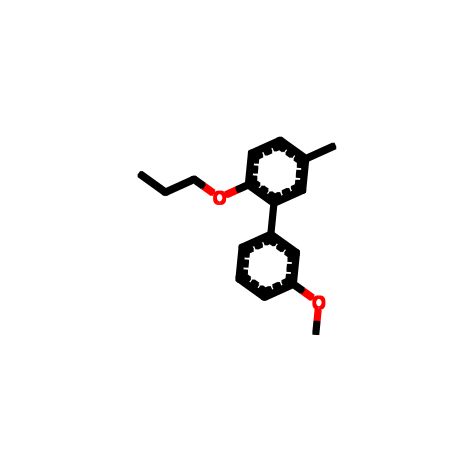 CCCOc1ccc(C)cc1-c1cccc(OC)c1